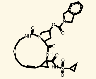 O=C1NC2(C(=O)NS(=O)(=O)C3CC3)CC2C=CCCCCCNC(=O)N2CC(OC(=O)N3Cc4ccccc4C3)CC12